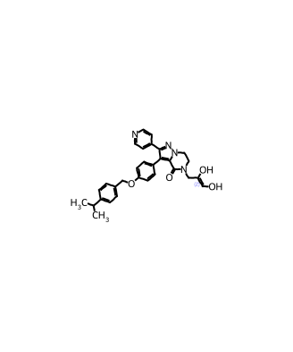 CC(C)c1ccc(COc2ccc(-c3c(-c4ccncc4)nn4c3C(=O)N(C/C(O)=C/O)CC4)cc2)cc1